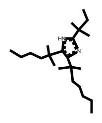 CCCCCC(C)(C)c1nc(C(C)(C)CC)[nH]c1C(C)(C)CCCC